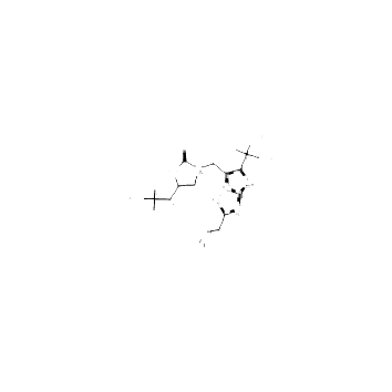 C=C1OC(CC(C)(F)F)CN1Cc1c(C(F)(F)F)nc2sc(COC)nn12